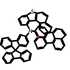 c1ccc(-c2cccc3cccc(-c4ccc(N(c5ccc6c(c5)-c5ccccc5C65c6ccccc6-c6ccccc65)c5cccc6sc7ccc8ccccc8c7c56)cc4)c23)cc1